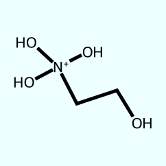 OCC[N+](O)(O)O